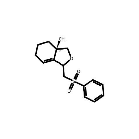 C[C@]12CCCC=C1C(CS(=O)(=O)c1ccccc1)OC2